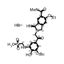 Br.CCOc1cc2c(cc1C(=O)NC)C(=N)N(CC(=O)c1cc(NCS(C)(=O)=O)c(O)c(C(C)(C)C)c1)C2